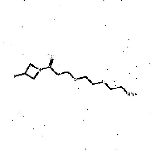 CNCCOCCOCCC(=O)N1CC(I)C1